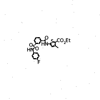 CCOC(=O)c1sc(NC(=O)c2cccc(S(=O)(=O)Nc3ccc(F)cc3)c2)cc1C